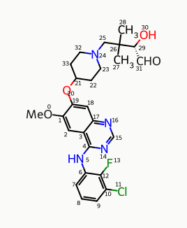 COc1cc2c(Nc3cccc(Cl)c3F)ncnc2cc1OC1CCN(CC(C)(C)[C@H](O)C=O)CC1